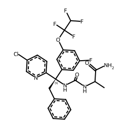 CC(NC(=O)N[C@@](Cc1ccccc1)(c1cc(F)cc(OC(F)(F)C(F)F)c1)c1ccc(Cl)cn1)C(N)=O